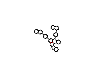 c1cc(-c2ccc(-c3ccc4ccccc4c3)cc2)cc(N(c2ccc(-c3cccc4ccccc34)cc2)c2ccccc2-c2cccc3oc4ccccc4c23)c1